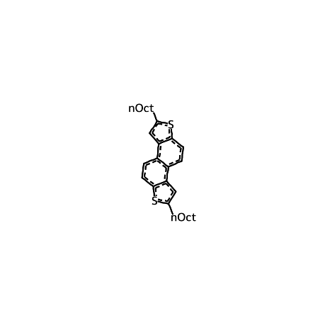 CCCCCCCCc1cc2c(ccc3c4cc(CCCCCCCC)sc4ccc23)s1